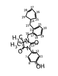 CC1(C)C(=O)N(c2ccc(O)cc2)C(=O)N1Cc1ccccc1CC1C=CC=CC1